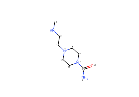 CNCCN1CCN(C(N)=O)CC1